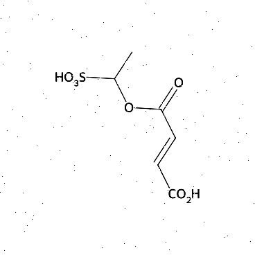 CC(OC(=O)C=CC(=O)O)S(=O)(=O)O